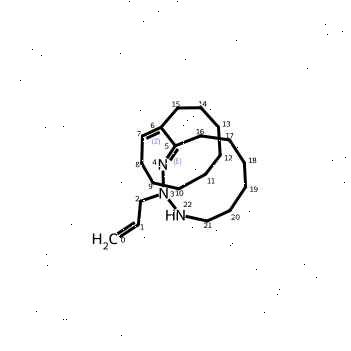 C=CCN1/N=C(/C2=C\CCCCCCCC2)CCCCCCN1